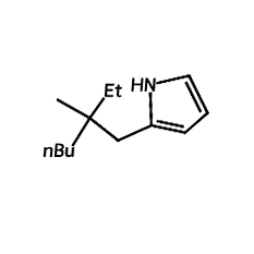 CCCCC(C)(CC)Cc1ccc[nH]1